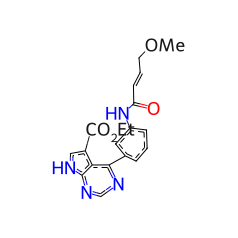 CCOC(=O)c1c[nH]c2ncnc(-c3cccc(NC(=O)C=CCOC)c3)c12